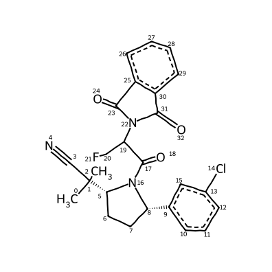 CC(C)(C#N)[C@H]1CC[C@@H](c2cccc(Cl)c2)N1C(=O)C(CF)N1C(=O)c2ccccc2C1=O